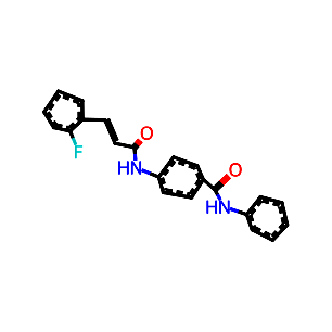 O=C(/C=C/c1ccccc1F)Nc1ccc(C(=O)Nc2ccccc2)cc1